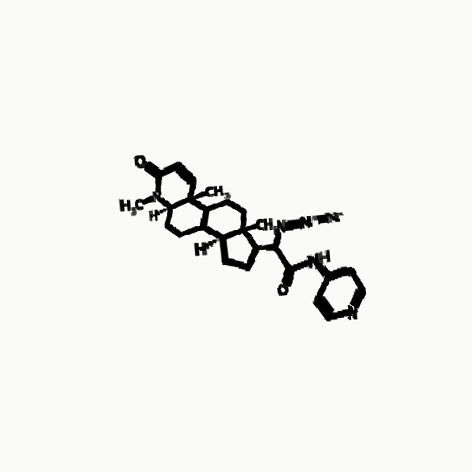 CN1C(=O)C=C[C@]2(C)C3CC[C@]4(C)[C@@H](C(N=[N+]=[N-])C(=O)Nc5ccncc5)CC[C@H]4C3CC[C@@H]12